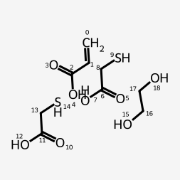 C=CC(=O)O.O=C(O)CS.O=C(O)CS.OCCO